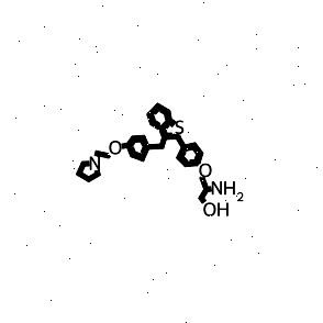 NC(CO)COc1ccc(-c2sc3ccccc3c2Cc2ccc(OCCN3CCCC3)cc2)cc1